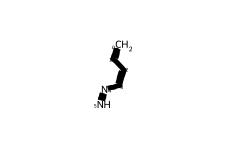 C=C/C=C\N=N